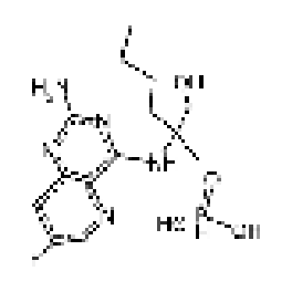 CCCCC(C)(CO)Nc1nc(N)nc2cc(F)cnc12.O=[PH](O)O